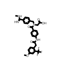 CNC(=N)c1ccc(CN(CC(=O)O)C(=O)c2ccc(NC(=O)Cc3ccc(OC)cc3C(F)(F)F)cc2)cc1